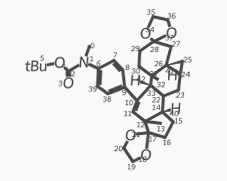 CN(C(=O)OC(C)(C)C)c1ccc(C2=CC3(C)[C@@H](CCC34OCCO4)C3C[C@@H]4C[C@@]45CC4(CCC5(C)[C@@H]23)OCCO4)cc1